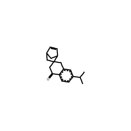 CC(C)c1ccc2c(c1)CC1(CC2=O)CC2C=CC1C2